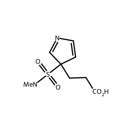 CNS(=O)(=O)C1(CCC(=O)O)C=CN=C1